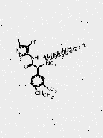 Cc1nsc(NC(=O)C(C)c2ccc(O)c([N+](=O)[O-])c2)c1Cl.O.O.O.O.O.O.O.O.O.O=[N+]([O-])[O-].[Fe]